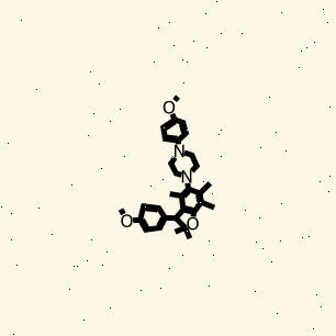 COc1ccc(C2c3c(C)c(N4CCN(c5ccc(OC)cc5)CC4)c(C)c(C)c3OC2(C)C)cc1